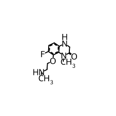 CNCCOc1c(F)ccc2c1N(C)C(=O)CN2